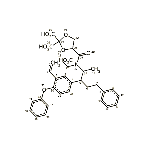 C=Cc1cc(C(CCc2ccccc2)C(C)N(CC(=O)O)C(=O)C2COC(C(=O)O)(C(=O)O)O2)ccc1Oc1ccccc1